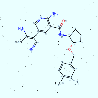 CN/C(N)=C(\C=N)c1cnc(N)c(C(=O)N[C@H]2CCC[C@@H]2OCc2ccc(C)c(C)c2)c1